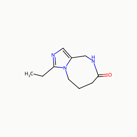 CCc1ncc2n1CCCC(=O)NC2